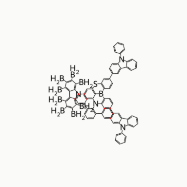 Bc1c(B)c(B)c2c(c1B)c1c(B)c(B)c(B)c(B)c1n2-c1cc2c3c(c1)N(c1c(-c4ccccc4)cccc1-c1ccccc1)c1cc(-c4ccc5c(c4)c4ccccc4n5-c4ccccc4)ccc1B3c1ccc(-c3ccc4c(c3)c3ccccc3n4-c3ccccc3)cc1S2